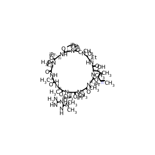 C/C=C/C[C@@H](C)[C@@H](O)[C@H]1C(=O)N[C@@H](CC)C(=O)N(C)CC(=O)N(C)[C@@H](CC(C)C)C(=O)N[C@@H](C(C)C)C(=O)N(C)[C@@H](CC(C)C)C(=O)N[C@@H](C)C(=O)N[C@H](C)C(=O)N(C)[C@@H](CC(C)C)C(=O)N(C)[C@@H](CC(C)C)C(=O)N(C)[C@@H](C(C)C)C(=O)N1C.CN(C)C(=N)NC(=N)N